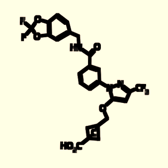 O=C(NCc1ccc2c(c1)OC(F)(F)O2)c1cccc(-n2nc(C(F)(F)F)cc2OCC23CC(C(=O)O)(C2)C3)c1